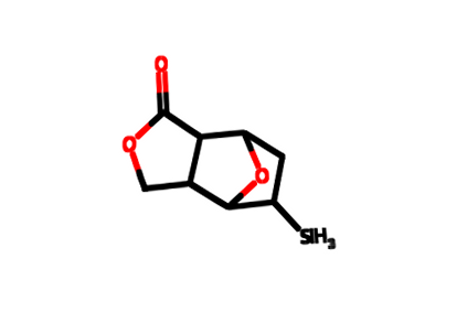 O=C1OCC2C3OC(CC3[SiH3])C12